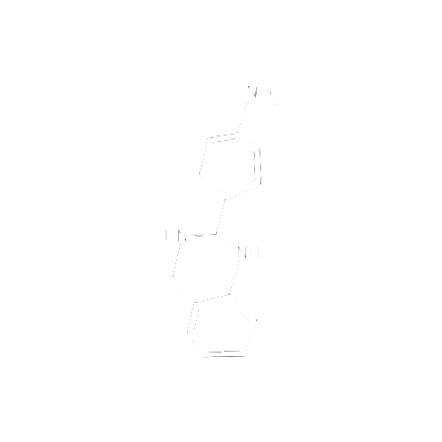 O=[N+]([O-])c1ccc(C2NCc3ccccc3N2)cc1